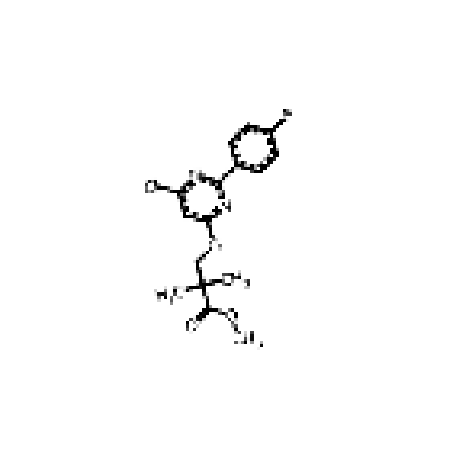 COC(=O)C(C)(C)COc1cc(Cl)nc(-c2ccc(F)cc2)n1